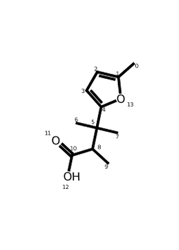 Cc1ccc(C(C)(C)C(C)C(=O)O)o1